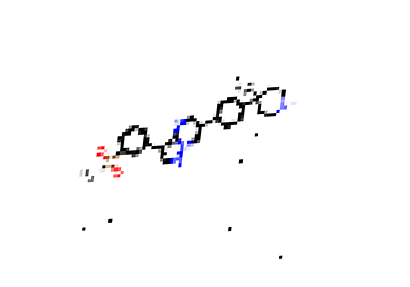 CC1(c2ccc(-c3cnc4c(-c5cccc(S(C)(=O)=O)c5)cnn4c3)cc2)CCNCC1